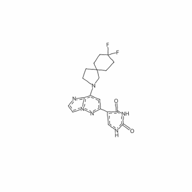 O=c1[nH]cc(-c2cc(N3CCC4(CCC(F)(F)CC4)C3)c3nccn3n2)c(=O)[nH]1